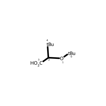 CC(C)(C)OC(C(=O)O)C(C)(C)C